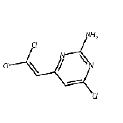 Nc1nc(Cl)cc(C=C(Cl)Cl)n1